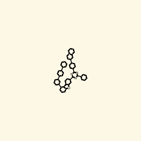 c1ccc(-c2ccc(-c3cccc(-c4cccc5oc6cc(-c7nc(-c8ccccc8)nc(-c8ccc(-c9ccc%10ccccc%10c9)cc8)n7)ccc6c45)c3)cc2)cc1